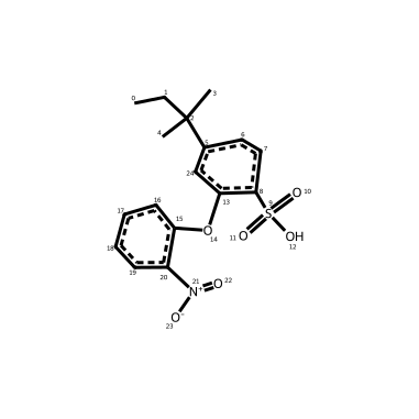 CCC(C)(C)c1ccc(S(=O)(=O)O)c(Oc2ccccc2[N+](=O)[O-])c1